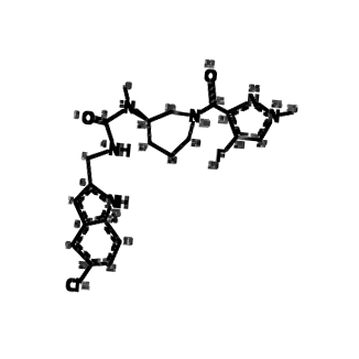 CN(C(=O)NCc1cc2cc(Cl)ccc2[nH]1)[C@@H]1CCCN(C(=O)c2nn(C)cc2F)C1